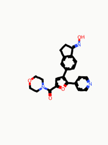 O=C(c1cc(-c2ccc3c(c2)CC/C3=N\O)c(-c2ccncc2)o1)N1CCOCC1